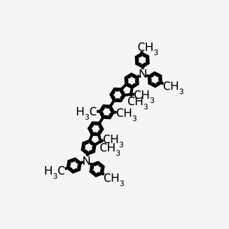 Cc1ccc(N(c2ccc(C)cc2)c2ccc3c(c2)C(C)(C)c2cc(-c4cc(C)c(-c5ccc6c(c5)C(C)(C)c5cc(N(c7ccc(C)cc7)c7ccc(C)cc7)ccc5-6)cc4C)ccc2-3)cc1